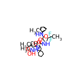 Cc1ccccc1NC(=O)C(=O)[C@H](CCC(C)(F)F)NC(=O)[C@@H]1CC2(CCCCC2)CN1C(=O)[C@@H](NC(=O)O)C(C)(C)C